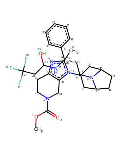 COC(=O)N1CCc2nc(C)n(C3CC4CCC(C3)N4CC[C@H](NC(O)CC(F)(F)F)c3ccccc3)c2C1